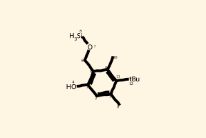 Cc1cc(O)c(CO[SiH3])c(C)c1C(C)(C)C